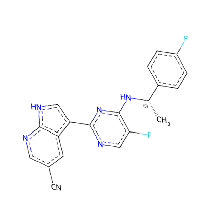 C[C@H](Nc1nc(-c2c[nH]c3ncc(C#N)cc23)ncc1F)c1ccc(F)cc1